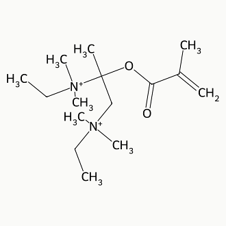 C=C(C)C(=O)OC(C)(C[N+](C)(C)CC)[N+](C)(C)CC